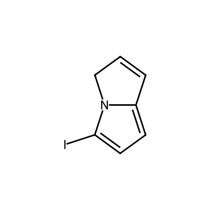 Ic1ccc2n1CC=C2